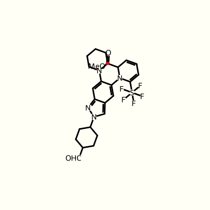 COC(=O)C1C=CC=C(S(F)(F)(F)(F)F)N1c1cc2cn(C3CCC(C=O)CC3)nc2cc1N1CCCCC1